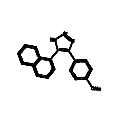 COc1ccc(C2=C(c3cccc4ccccc34)N[N+]=N2)cc1